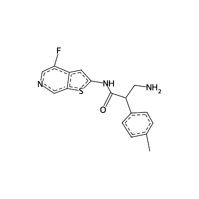 Cc1ccc(C(CN)C(=O)Nc2cc3c(F)cncc3s2)cc1